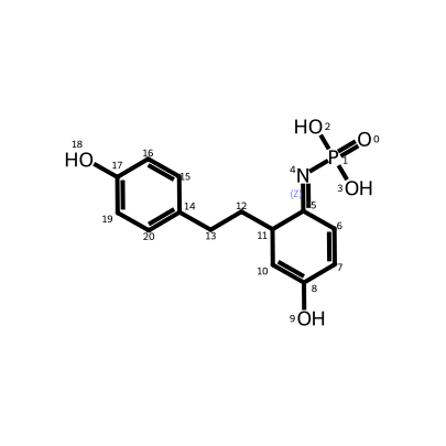 O=P(O)(O)/N=C1\C=CC(O)=CC1CCc1ccc(O)cc1